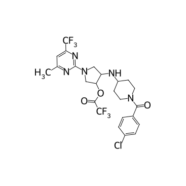 Cc1cc(C(F)(F)F)nc(N2CC(NC3CCN(C(=O)c4ccc(Cl)cc4)CC3)C(OC(=O)C(F)(F)F)C2)n1